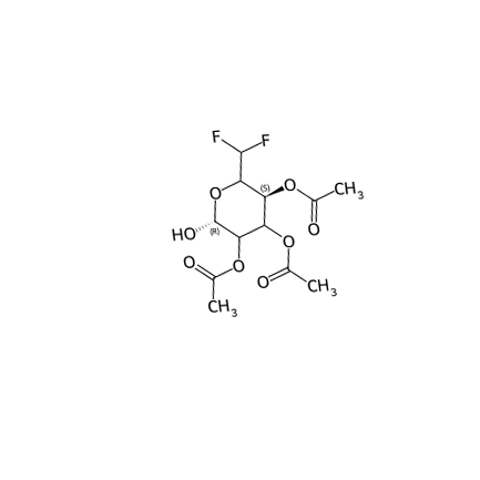 CC(=O)OC1C(OC(C)=O)[C@H](O)OC(C(F)F)[C@H]1OC(C)=O